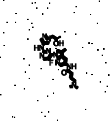 Cc1cn(-c2nc(Nc3cnn(C[C@@H](C)O)c3)ncc2F)c2ncc(NC(=O)/C=C/CN(C)C)cc12